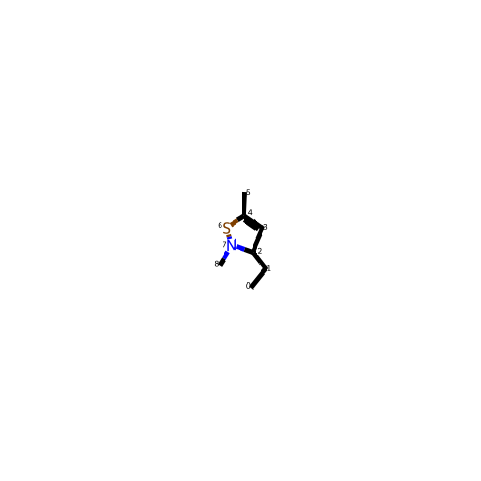 CCC1C=C(C)SN1C